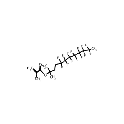 C=C(C)C(=O)OC(C)(C)CCC(F)(F)C(F)(F)C(F)(F)C(F)(F)C(F)(F)C(F)(F)C(F)(F)C(F)(F)F